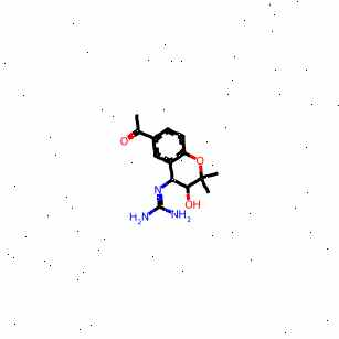 CC(=O)c1ccc2c(c1)C(N=C(N)N)C(O)C(C)(C)O2